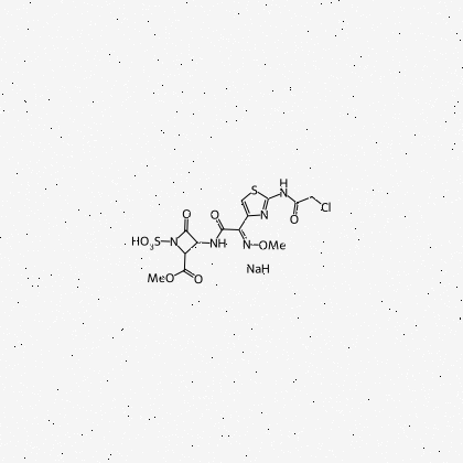 CO/N=C(/C(=O)NC1C(=O)N(S(=O)(=O)O)C1C(=O)OC)c1csc(NC(=O)CCl)n1.[NaH]